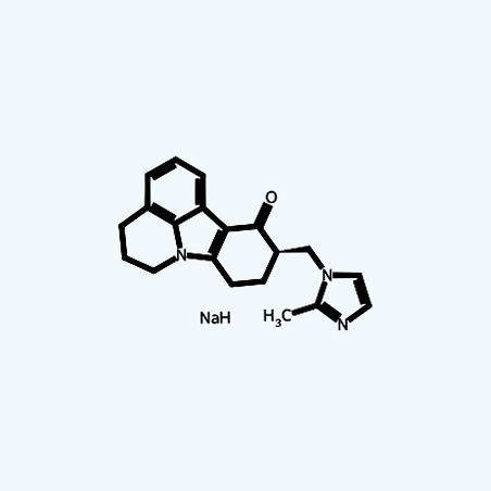 Cc1nccn1C[C@H]1CCc2c(c3cccc4c3n2CCC4)C1=O.[NaH]